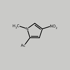 CC(=O)c1cc([N+](=O)[O-])cn1C